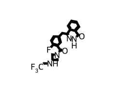 O=C(c1cc(Cc2n[nH]c(=O)c3ccccc23)ccc1F)N1CC(NCC(F)(F)F)C1